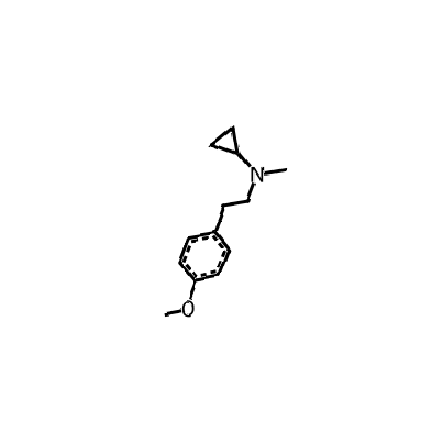 COc1ccc(CCN(C)C2CC2)cc1